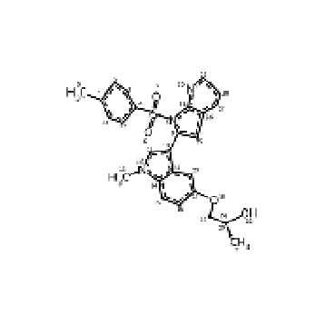 Cc1ccc(S(=O)(=O)n2c(-c3cn(C)c4ccc(OC[C@H](C)O)cc34)cc3cccnc32)cc1